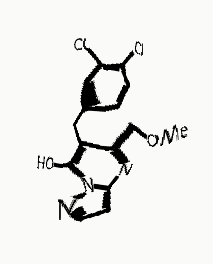 COCc1nc2ccnn2c(O)c1Cc1ccc(Cl)c(Cl)c1